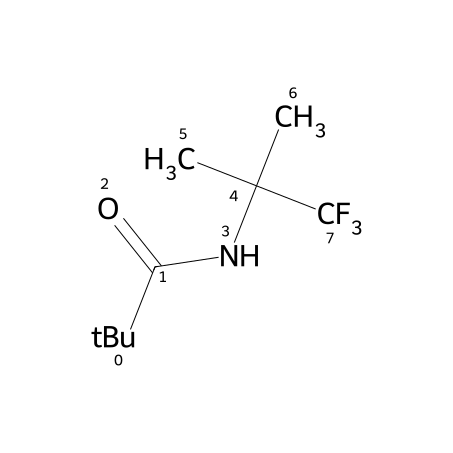 CC(C)(C)C(=O)NC(C)(C)C(F)(F)F